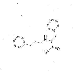 NC(=O)C(Cc1ccccc1)NC[CH]Cc1ccccc1